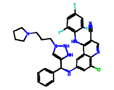 N#Cc1cnc2c(Cl)cc(N[C@H](C3=CN(CCCN4CCCC4)NN3)c3ccccc3)cc2c1Nc1c(F)cc(F)cc1F